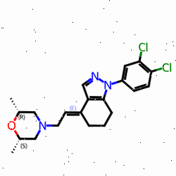 C[C@@H]1CN(C/C=C2\CCCc3c2cnn3-c2ccc(Cl)c(Cl)c2)C[C@H](C)O1